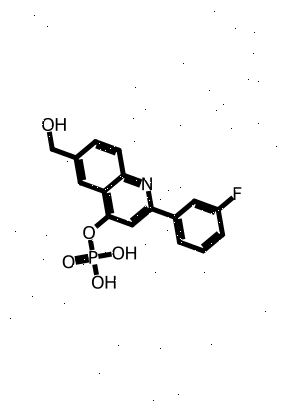 O=P(O)(O)Oc1cc(-c2cccc(F)c2)nc2ccc(CO)cc12